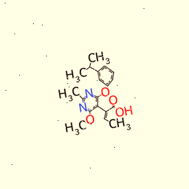 CC=C(C(=O)O)c1c(OC)nc(C)nc1Oc1cccc(C(C)C)c1